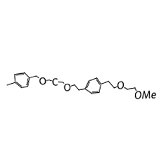 COCCOCCc1ccc(CCOCCCOCc2ccc(C)cc2)cc1